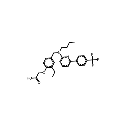 CCCCN(Cc1ccc(OCC(=O)O)c(CC)c1)c1nccc(-c2ccc(C(F)(F)F)cc2)n1